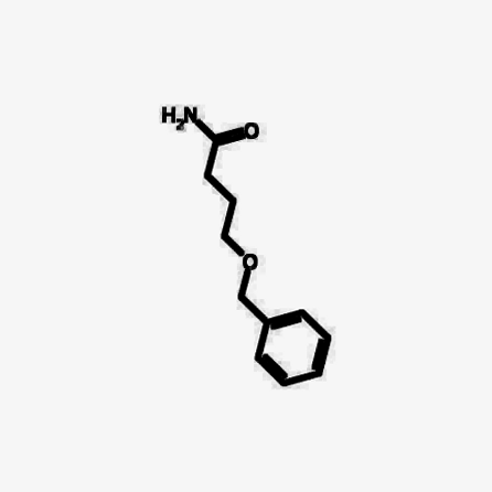 NC(=O)CCCOCc1ccccc1